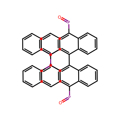 O=Pc1cc(P(c2ccccc2)c2ccccc2)c(-c2c(P(c3ccccc3)c3ccccc3)cc(P=O)c3ccccc23)c2ccccc12